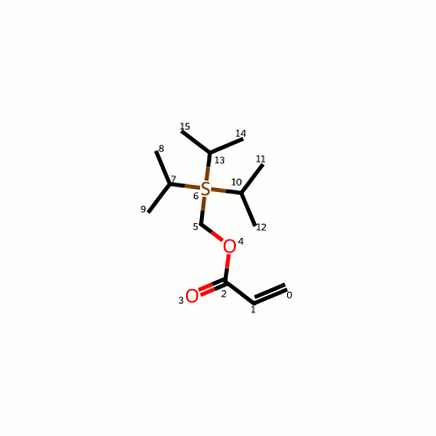 C=CC(=O)OCS(C(C)C)(C(C)C)C(C)C